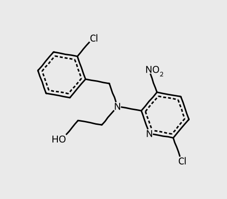 O=[N+]([O-])c1ccc(Cl)nc1N(CCO)Cc1ccccc1Cl